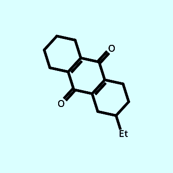 CCC1CCC2=C(C1)C(=O)C1=C(CCCC1)C2=O